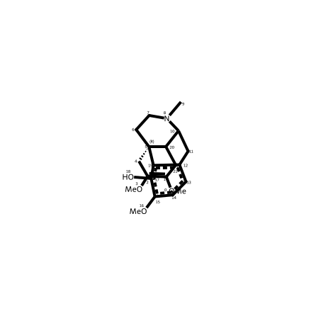 COC1=C(OC)C[C@@]23CCN(C)C(Cc4ccc(OC)c(O)c42)C3C1